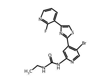 CCNC(=O)Nc1cc(-c2nc(-c3cccnc3F)cs2)c(Br)cn1